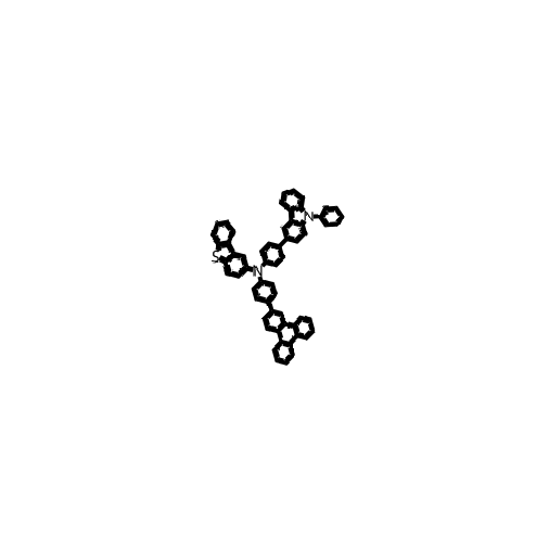 c1ccc(-n2c3ccccc3c3cc(-c4ccc(N(c5ccc(-c6ccc7c8ccccc8c8ccccc8c7c6)cc5)c5ccc6sc7ccccc7c6c5)cc4)ccc32)cc1